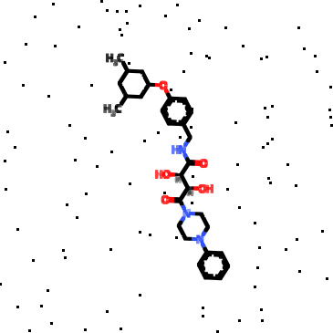 CC1CC(C)CC(Oc2ccc(CNC(=O)[C@H](O)[C@@H](O)C(=O)N3CCN(c4ccccc4)CC3)cc2)C1